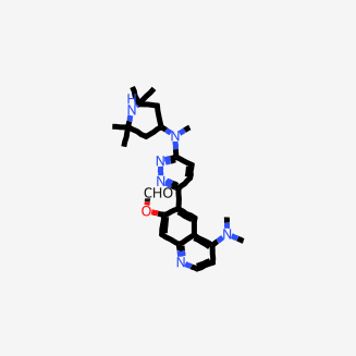 CN(C)c1ccnc2cc(OC=O)c(-c3ccc(N(C)C4CC(C)(C)NC(C)(C)C4)nn3)cc12